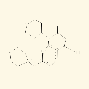 Nc1cc(=O)n(C2CCCCC2)c2nc(NC3CCCCC3)ncc12